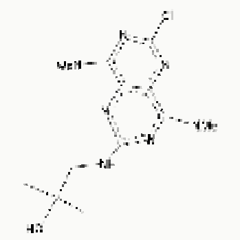 CNc1nc(NCC(C)(C)O)nc2c(NC)nc(Cl)nc12